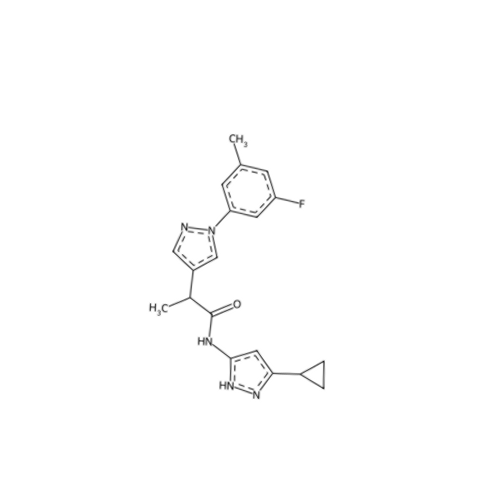 Cc1cc(F)cc(-n2cc(C(C)C(=O)Nc3cc(C4CC4)n[nH]3)cn2)c1